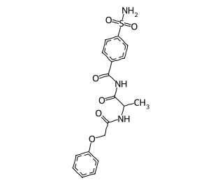 CC(NC(=O)COc1ccccc1)C(=O)NC(=O)c1ccc(S(N)(=O)=O)cc1